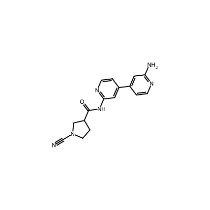 N#CN1CCC(C(=O)Nc2cc(-c3ccnc(N)c3)ccn2)C1